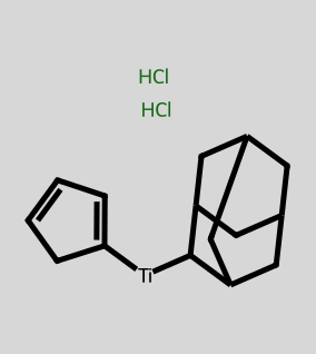 C1=CC[C]([Ti][CH]2C3CC4CC(C3)CC2C4)=C1.Cl.Cl